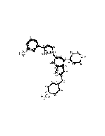 Cc1cccc(-c2ccn(-c3cc(N4CCOCC4)c4nc(CN5CCN(C)CC5)[nH]c4n3)n2)c1